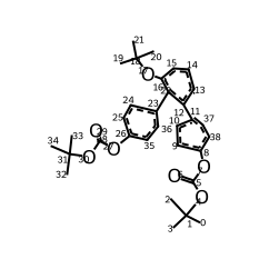 CC(C)(C)OC(=O)Oc1ccc(-c2[c]ccc(OC(C)(C)C)c2-c2ccc(OC(=O)OC(C)(C)C)cc2)cc1